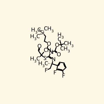 CC(C)(C)OC(=O)N(COCC[Si](C)(C)C)/C(=N/[C@](C)(CF)c1cccc(F)c1F)SC(C)(C)C=O